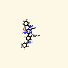 COc1cc(NC2CCOCC2)ccc1-c1nc2c(C)nn(C3CCCCC3)c2c(=O)[nH]1